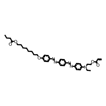 C=CC(=O)OCCN(CC)c1ccc(N=Nc2ccc(N=Nc3ccc(OCCCCCCCCOC(=O)CCC)cc3)cc2)cc1